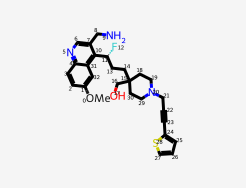 COc1ccc2ncc(CN)c([C@H](F)CCC3(CO)CCN(CC#Cc4cccs4)CC3)c2c1